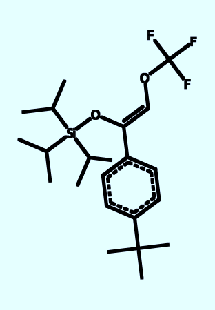 CC(C)[Si](OC(=COC(F)(F)F)c1ccc(C(C)(C)C)cc1)(C(C)C)C(C)C